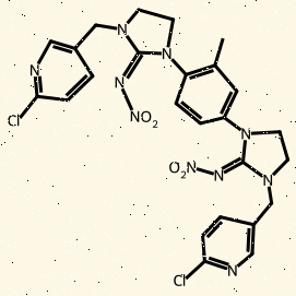 Cc1cc(N2CCN(Cc3ccc(Cl)nc3)C2=N[N+](=O)[O-])ccc1N1CCN(Cc2ccc(Cl)nc2)C1=N[N+](=O)[O-]